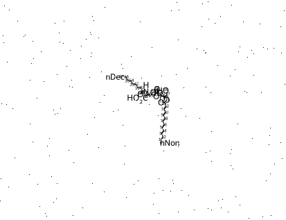 CCCCCCCCCC=CC=CC=CC=CC=CC=CC(=O)O[C@H](CO)COP(=O)(O)OC[C@H](NC(=O)CCCCCCCCCCCCCCCCC)C(=O)O